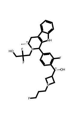 C[C@@H]1Cc2c([nH]c3ccccc23)C(c2ccc([C@H](O)C3CN(CCCF)C3)c(F)c2)N1CC(F)(F)CO